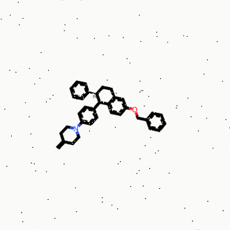 C=C1CCN(c2ccc(C3c4ccc(OCc5ccccc5)cc4CC[C@@H]3c3ccccc3)cc2)CC1